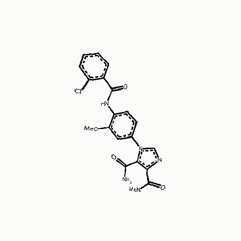 CNC(=O)c1ncn(-c2ccc(NC(=O)c3ccccc3Cl)c(OC)c2)c1C(N)=O